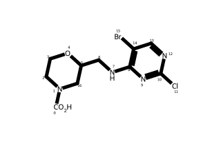 O=C(O)N1CCOC(CNc2nc(Cl)ncc2Br)C1